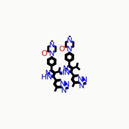 Cc1cc(-c2[nH]nc(-c3ccc(N4CCN(C)CC4=O)cc3)c2C(C)C)cn2ncnc12.Cc1cc(-c2[nH]nc(-c3ccc(N4CCN(C)CC4=O)cc3)c2C(C)C)cn2ncnc12